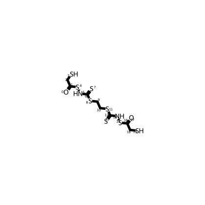 O=C(CS)SNC(=S)SCCSC(=S)NSC(=O)CS